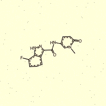 Cn1cc(NC(=O)c2n[nH]c3c(F)cccc23)ccc1=O